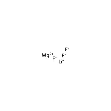 [F-].[F-].[F-].[Li+].[Mg+2]